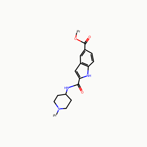 CC(C)OC(=O)c1ccc2[nH]c(C(=O)NC3CCN(C(C)C)CC3)cc2c1